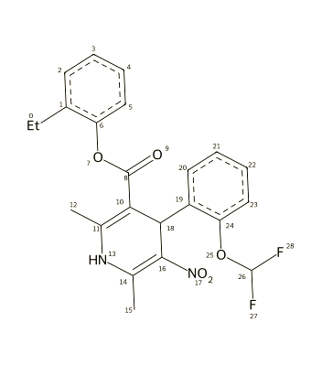 CCc1ccccc1OC(=O)C1=C(C)NC(C)=C([N+](=O)[O-])C1c1ccccc1OC(F)F